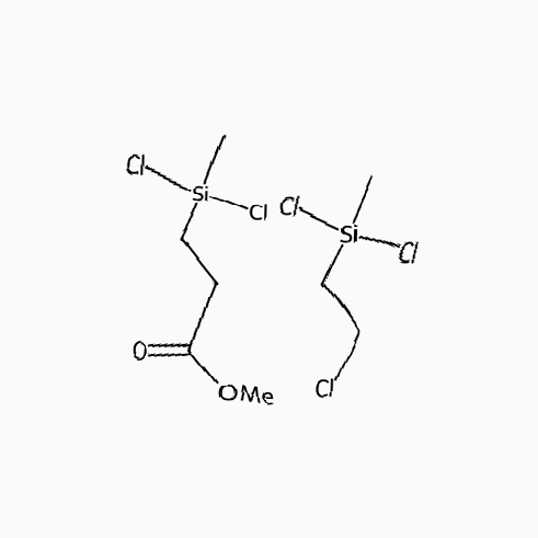 COC(=O)CC[Si](C)(Cl)Cl.C[Si](Cl)(Cl)CCCl